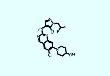 OC1CCN(c2cc3nc(Nc4cnn(CC(F)F)c4Cl)ncc3cc2Cl)CC1